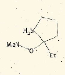 CCC1(ONC)CCC[SiH2]1